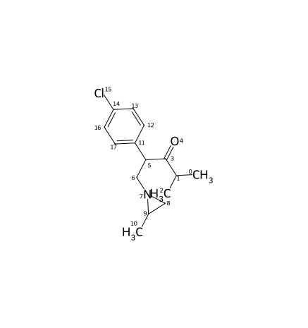 CC(C)C(=O)C(CN1CC1C)c1ccc(Cl)cc1